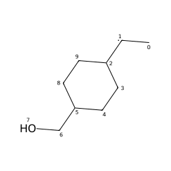 C[CH]C1CCC(CO)CC1